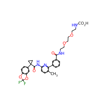 Cc1ccc(NC(=O)C2(c3ccc4c(c3)OC(F)(F)O4)CC2)nc1-c1cccc(C(=O)NCCOCCOCCNC(=O)O)c1